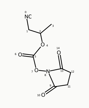 [C-]#[N+]CC(C)OC(=O)ON1C(=O)CCC1=O